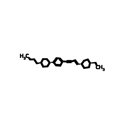 CCCC[C@H]1CC[C@H](c2ccc(C#CC=C[C@H]3CC[C@H](CC)CC3)cc2)CC1